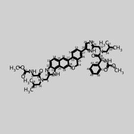 COC(=O)NCC(=O)N(Cc1nc2ccc3cc4c(cc3c2[nH]1)OCc1cc(-c2cnc(CN(CC(C)C)C(=O)[C@H](NC(=O)OC)c3ccccc3)[nH]2)ccc1-4)CC(C)C